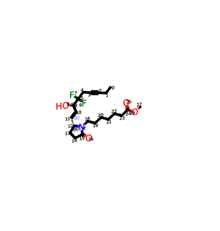 CCC#CCC(F)(F)[C@H](O)/C=C/[C@H]1CCC(=O)N1CCCCCCC(=O)OC